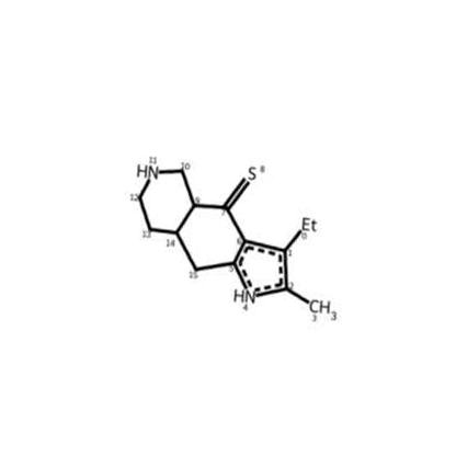 CCc1c(C)[nH]c2c1C(=S)C1CNCCC1C2